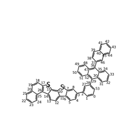 c1cc(-c2ccc3c(c2)sc2c3ccc3c2sc2ccc4ccccc4c23)cc(-c2c3ccccc3c(-c3ccc4ccccc4c3)c3ccccc23)c1